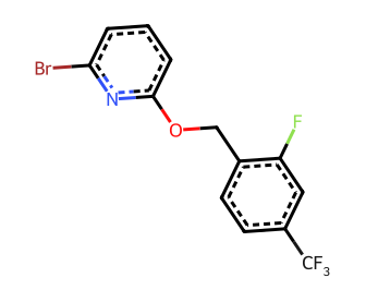 Fc1cc(C(F)(F)F)ccc1COc1cccc(Br)n1